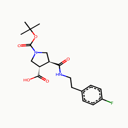 CC(C)(C)OC(=O)N1C[C@@H](C(=O)O)[C@H](C(=O)NCCc2ccc(F)cc2)C1